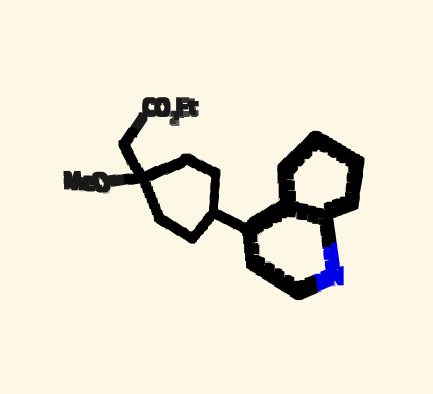 CCOC(=O)CC1(OC)CCC(c2ccnc3ccccc23)CC1